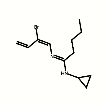 C=C/C(Br)=C\N=C(/CCCC)NC1CC1